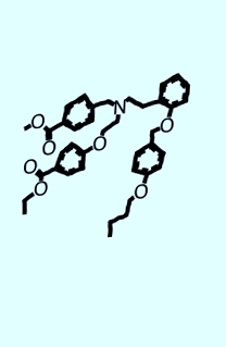 CCCCOc1ccc(COc2ccccc2CCN(CCOc2ccc(C(=O)OCC)cc2)Cc2ccc(C(=O)OC)cc2)cc1